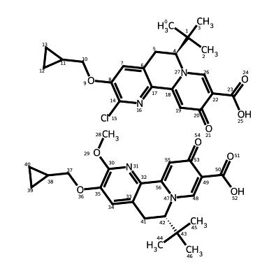 CC(C)(C)[C@@H]1Cc2cc(OCC3CC3)c(Cl)nc2-c2cc(=O)c(C(=O)O)cn21.COc1nc2c(cc1OCC1CC1)C[C@@H](C(C)(C)C)n1cc(C(=O)O)c(=O)cc1-2